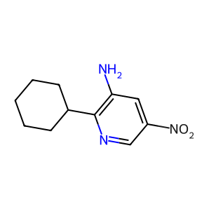 Nc1cc([N+](=O)[O-])cnc1C1CCCCC1